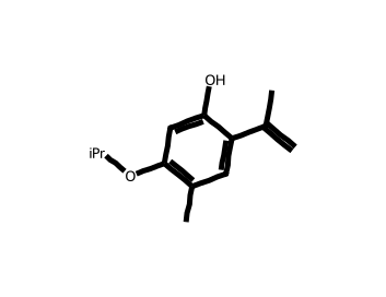 C=C(C)c1cc(C)c(OC(C)C)cc1O